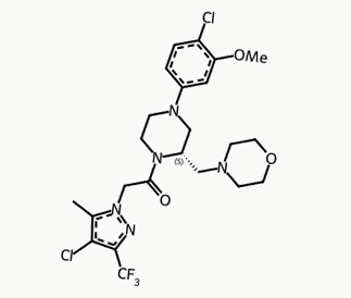 COc1cc(N2CCN(C(=O)Cn3nc(C(F)(F)F)c(Cl)c3C)[C@@H](CN3CCOCC3)C2)ccc1Cl